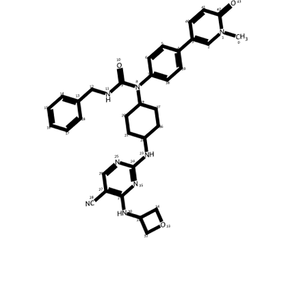 Cn1cc(-c2ccc(N(C(=O)NCc3ccccc3)C3CCC(Nc4ncc(C#N)c(NC5COC5)n4)CC3)cc2)ccc1=O